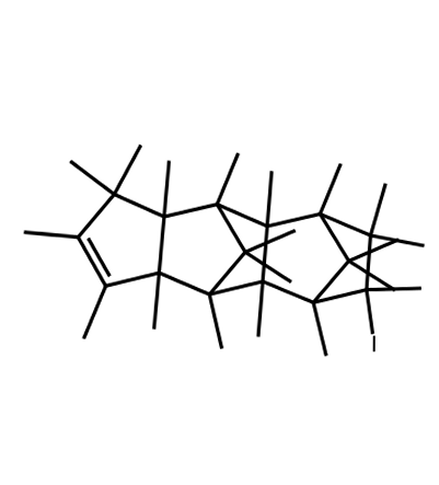 CC1=C(C)C2(C)C(C)(C1(C)C)C1(C)C(C)(C)C2(C)C2(C)C3(C)C(C)(C)C(C)(C(C)(C)C3(C)I)C12C